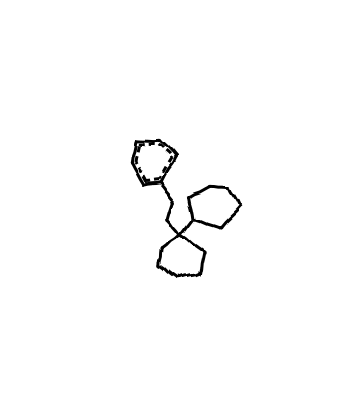 c1ccc(CCC2(C3CCCCC3)CCCCC2)cc1